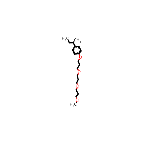 CCC(C)c1ccc(OCCCOCCCOCCCOC)cc1